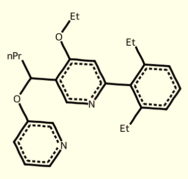 CCCC(Oc1cccnc1)c1cnc(-c2c(CC)cccc2CC)cc1OCC